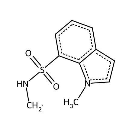 [CH2]NS(=O)(=O)c1cccc2ccn(C)c12